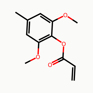 C=CC(=O)Oc1c(OC)cc(C)cc1OC